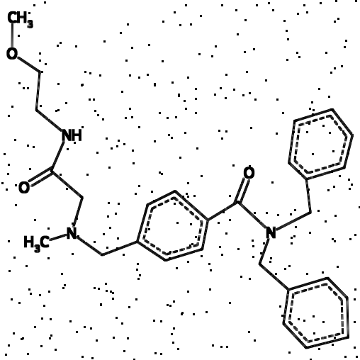 COCCNC(=O)CN(C)Cc1ccc(C(=O)N(Cc2ccccc2)Cc2ccccc2)cc1